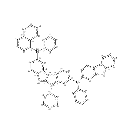 c1ccc(N(c2ccc3c(c2)oc2ccccc23)c2ccc3c4c5cc(N(c6ccccc6)c6cccc7ccccc67)ccc5oc4n(-c4ccccc4)c3c2)cc1